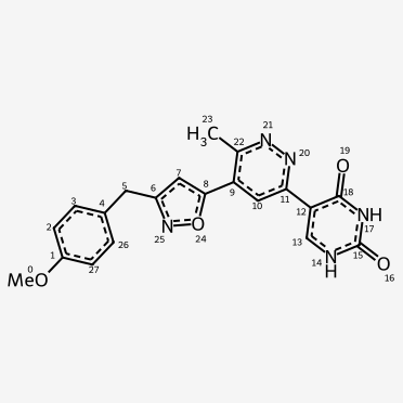 COc1ccc(Cc2cc(-c3cc(-c4c[nH]c(=O)[nH]c4=O)nnc3C)on2)cc1